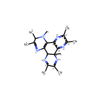 CN1C2=C(N=C(C#N)C1C#N)C1N=C(C#N)C(C#N)=NC1(C)c1nc(C#N)c(C#N)nc12